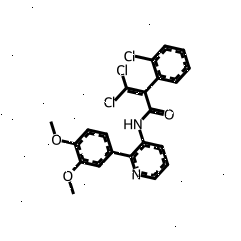 COc1ccc(-c2ncccc2NC(=O)C(=C(Cl)Cl)c2ccccc2Cl)cc1OC